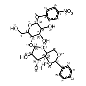 O=[N+]([O-])c1ccc(O[C@@H]2OC(CO)[C@@H](O[C@@H]3OC4COC(c5ccccc5)O[C@H]4[C@H](O)C3O)[C@H](O)C2O)cc1